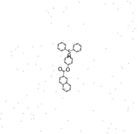 O=C(Oc1ccc([SH](c2ccccc2)c2ccccc2)cc1)c1ccc2ccccc2c1